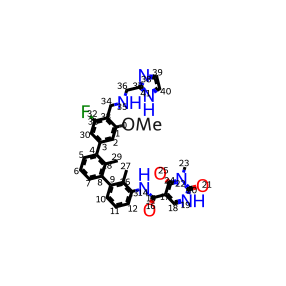 COc1cc(-c2cccc(-c3cccc(NC(=O)c4c[nH]c(=O)n(C)c4=O)c3C)c2C)cc(F)c1CNCc1ncc[nH]1